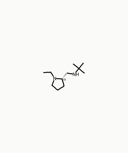 CCN1CCC[C@H]1CNC(C)(C)C